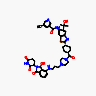 CC(C)(O)c1cc2nc([C@H]3CC[C@H](C(=O)N4CCN(CCCNc5cccc6c5C(O)N(C5CCC(=O)NC5=O)C6=O)CC4)CC3)sc2cc1NC(=O)c1cncc(C#N)c1